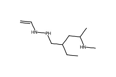 C=CNPCC(CC)CC(C)NC